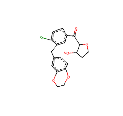 O=C(c1ccc(Cl)c(Cc2ccc3c(c2)OCCO3)c1)C1OCCC1O